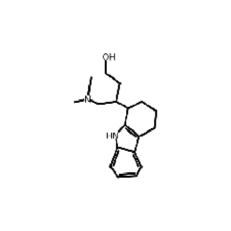 CN(C)CC(CCO)C1CCCc2c1[nH]c1ccccc21